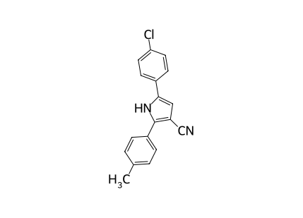 Cc1ccc(-c2[nH]c(-c3ccc(Cl)cc3)cc2C#N)cc1